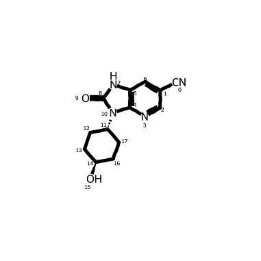 N#Cc1cnc2c(c1)[nH]c(=O)n2[C@H]1CC[C@H](O)CC1